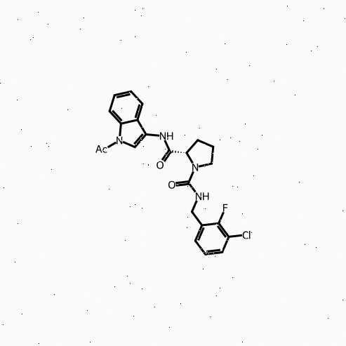 CC(=O)n1cc(NC(=O)[C@@H]2CCCN2C(=O)NCc2cccc(Cl)c2F)c2ccccc21